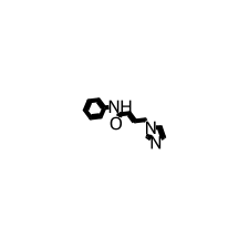 O=C(C=CCn1ccnc1)Nc1ccccc1